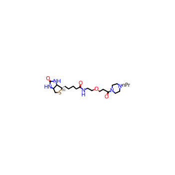 CCCN1CCN(C(=O)CCOCCNC(=O)CCCC[C@@H]2SCC3NC(=O)NC32)CC1